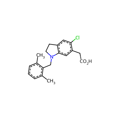 Cc1cccc(C)c1CN1CCc2cc(Cl)c(CC(=O)O)cc21